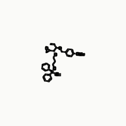 C=C[C@@H](OCc1ccc(OC)cc1)[C@H](OCCCO[Si](c1ccccc1)(c1ccccc1)C(C)(C)C)[C@H]1CO1